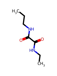 CCCNC(=O)C(=O)NCC